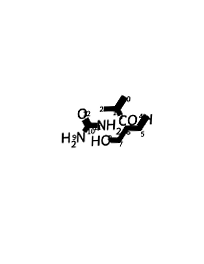 C=C(C)C(=O)O.C=CCCO.NC(N)=O